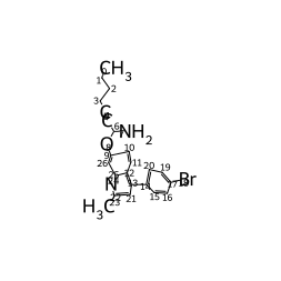 CCCCCCC(N)Oc1ccc2c(-c3ccc(Br)cc3)cc(C)nc2c1